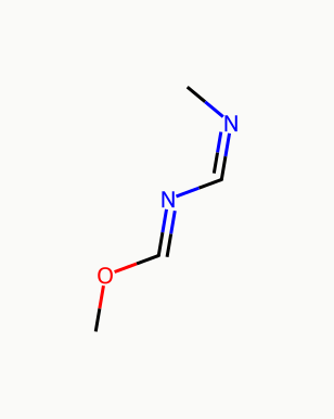 C/N=C\N=C\OC